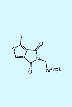 CCCCCCCCN1C(=O)c2csc(I)c2C1=O